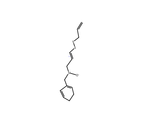 C=CCSS/C=C/C[S+]([O-])CC1=CCCC=C1